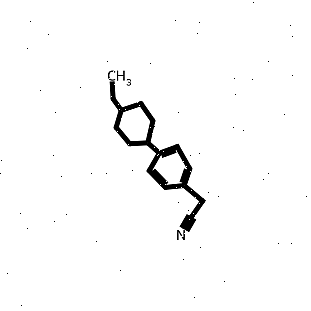 CCC1CCC(c2ccc(CC#N)cc2)CC1